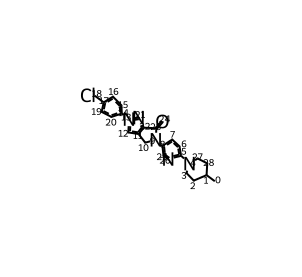 CC1CCN(c2ccc(N3Cc4cn(-c5ccc(Cl)cc5)nc4C3=O)cn2)CC1